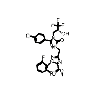 COC(=O)c1nc(Cn2nc(-c3ccc(Cl)cc3)n(C[C@H](O)C(F)(F)F)c2=O)nn1-c1c(F)cccc1F